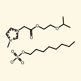 CC(C)OCCOC(=O)Cn1cc[n+](C)c1.CCCCCCCCOS(=O)(=O)[O-]